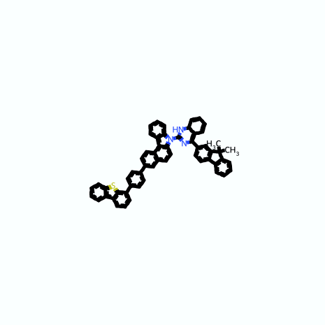 CC1(C)c2ccccc2-c2ccc(C3=C4C=CC=CC4NC(n4c5ccccc5c5c6ccc(-c7ccc(-c8cccc9c8sc8ccccc89)cc7)cc6ccc54)=N3)cc21